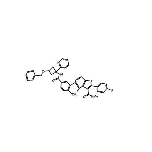 CNC(=O)c1c(-c2ccc(F)cc2)oc2ccc(-c3cc(C(=O)NC4(c5ncccn5)CC(OCc5ccccc5)C4)ccc3C)c(F)c12